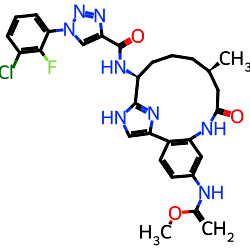 C=C(Nc1ccc2c(c1)NC(=O)C[C@H](C)CCC[C@H](NC(=O)c1cn(-c3cccc(Cl)c3F)nn1)c1nc-2c[nH]1)OC